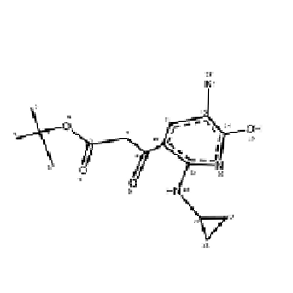 CC(C)(C)OC(=O)CC(=O)c1cc(Br)c(O)nc1NC1CC1